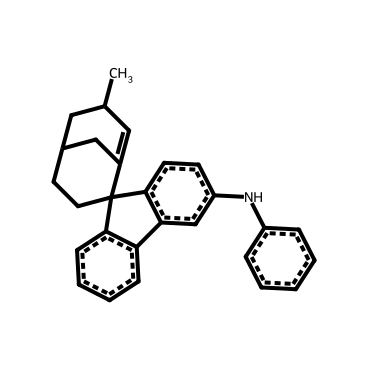 CC1C=C2CC(CCC23c2ccccc2-c2cc(Nc4ccccc4)ccc23)C1